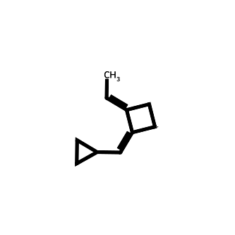 CC=C1C[CH]C1=CC1CC1